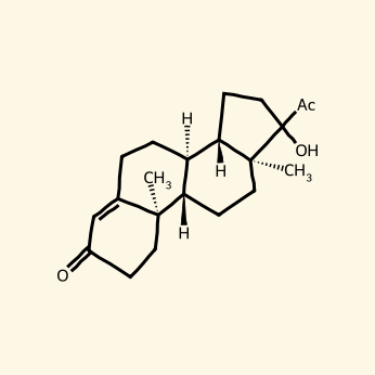 CC(=O)C1(O)CC[C@H]2[C@@H]3CCC4=CC(=O)CC[C@]4(C)[C@H]3CC[C@@]21C